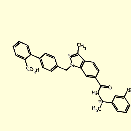 Cc1nn(Cc2ccc(-c3ccccc3C(=O)O)cc2)c2cc(C(=O)N[C@@H](C)c3cccc(C(C)(C)C)c3)ccc12